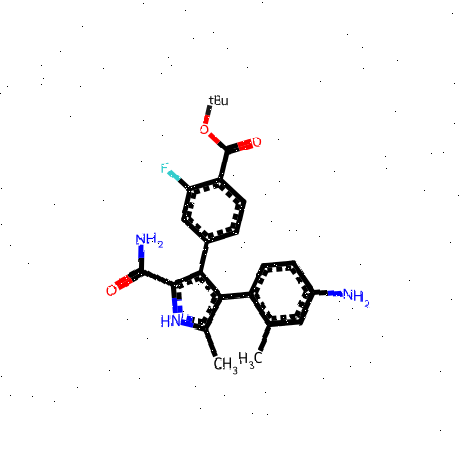 Cc1cc(N)ccc1-c1c(C)[nH]c(C(N)=O)c1-c1ccc(C(=O)OC(C)(C)C)c(F)c1